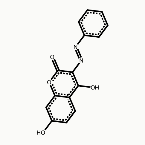 O=c1oc2cc(O)ccc2c(O)c1/N=N/c1ccccc1